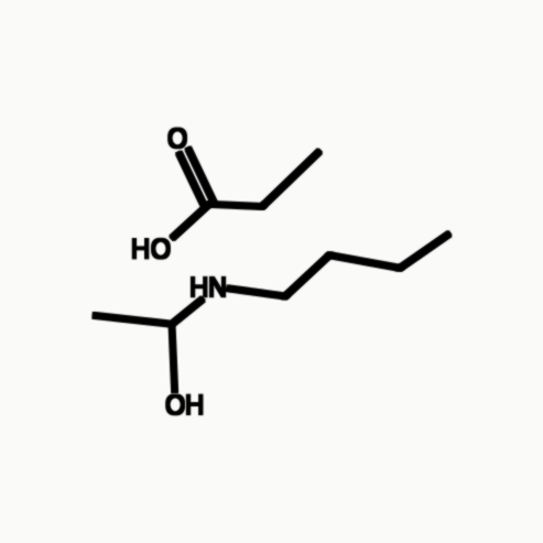 CCC(=O)O.CCCCNC(C)O